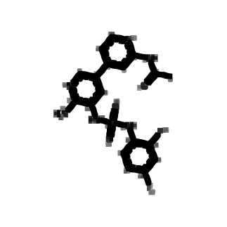 CC(=O)Nc1cc(-c2cnc(N)c(NS(=O)(=O)Nc3ccc(F)cc3F)c2)ccn1